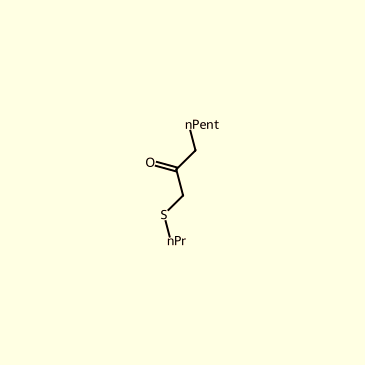 CCCCCCC(=O)CSCCC